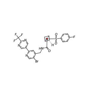 O=C(NCc1cc(-c2cnc(C(F)(F)F)nc2)ncc1Br)[C@@H]1C2CC(C2)N1S(=O)(=O)c1ccc(F)cc1